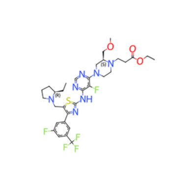 CCOC(=O)CCN1CCN(c2ncnc(Nc3nc(-c4cc(F)cc(C(F)(F)F)c4)c(CN4CCC[C@H]4CC)s3)c2F)C[C@H]1COC